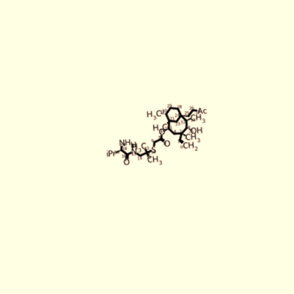 C=C[C@]1(C)C[C@@H](OC(=O)CSC(C)(C)CNC(=O)[C@H](N)C(C)C)[C@@]2(C)C[C@](CCC(C)=O)(CC[C@H]2C)[C@@H](C)[C@@H]1O